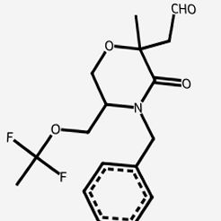 CC(F)(F)OCC1COC(C)(CC=O)C(=O)N1Cc1ccccc1